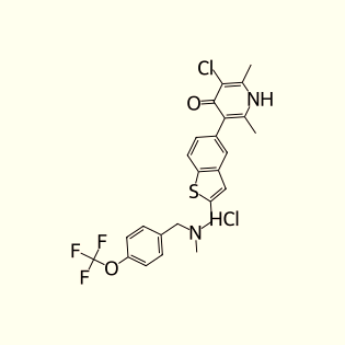 Cc1[nH]c(C)c(-c2ccc3sc(CN(C)Cc4ccc(OC(F)(F)F)cc4)cc3c2)c(=O)c1Cl.Cl